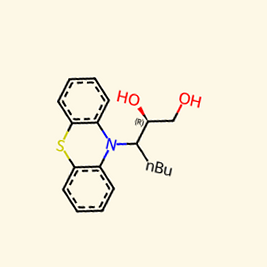 CCCCC([C@@H](O)CO)N1c2ccccc2Sc2ccccc21